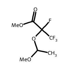 COC(=O)C(F)(OC(C)OC)C(F)(F)F